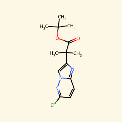 CC(C)(C)OC(=O)C(C)(C)c1cn2nc(Cl)ccc2n1